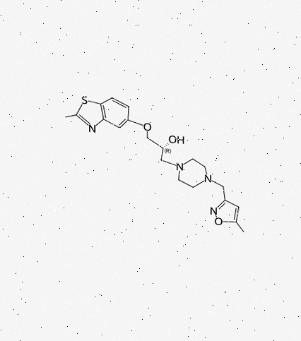 Cc1cc(CN2CCN(C[C@@H](O)COc3ccc4sc(C)nc4c3)CC2)no1